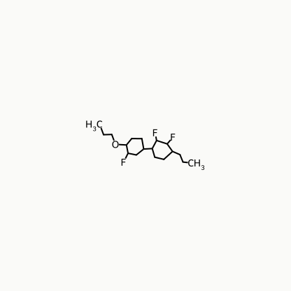 CCCOC1CCC(C2CCC(CCC)C(F)C2F)CC1F